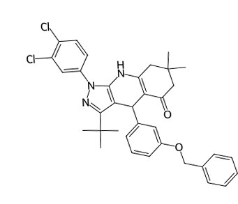 CC1(C)CC(=O)C2=C(C1)Nc1c(c(C(C)(C)C)nn1-c1ccc(Cl)c(Cl)c1)C2c1cccc(OCc2ccccc2)c1